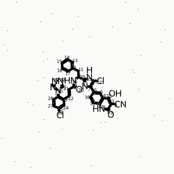 N#Cc1c(O)c2cc(-c3nc(C(Cc4ccccc4)NC(=O)C=Cc4cc(Cl)ccc4-n4cnnn4)[nH]c3Cl)ccc2[nH]c1=O